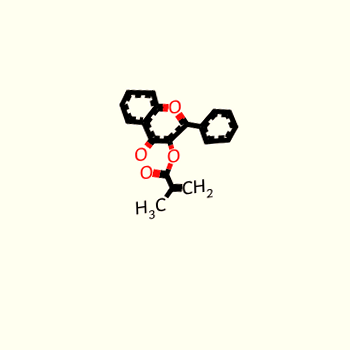 C=C(C)C(=O)Oc1c(-c2ccccc2)oc2ccccc2c1=O